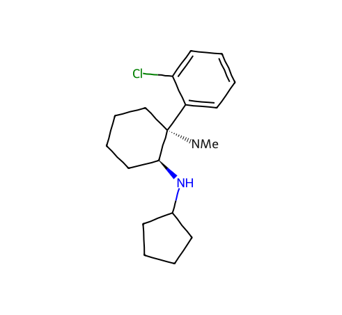 CN[C@@]1(c2ccccc2Cl)CCCC[C@@H]1NC1CCCC1